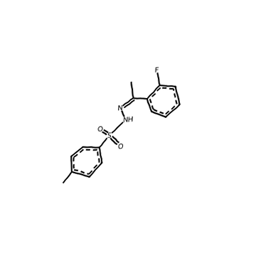 CC(=NNS(=O)(=O)c1ccc(C)cc1)c1ccccc1F